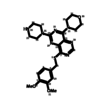 COc1ccc(CSc2ncnc3c(N4CCOCC4)nc(N4CCNCC4)nc23)cc1OC